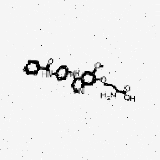 COc1cc2c(Nc3ccc(NC(=O)c4ccccc4)cc3)ccnc2cc1OCC[C@H](N)C(=O)O